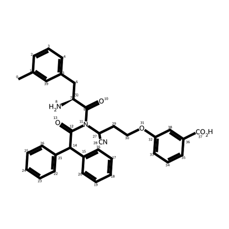 Cc1cccc(C[C@H](N)C(=O)N(C(=O)C(c2ccccc2)c2ccccc2)C(C#N)CCOc2cccc(C(=O)O)c2)c1